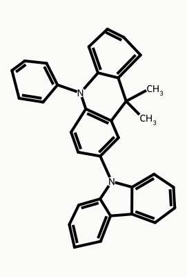 CC1(C)c2ccccc2N(c2ccccc2)c2ccc(-n3c4ccccc4c4ccccc43)cc21